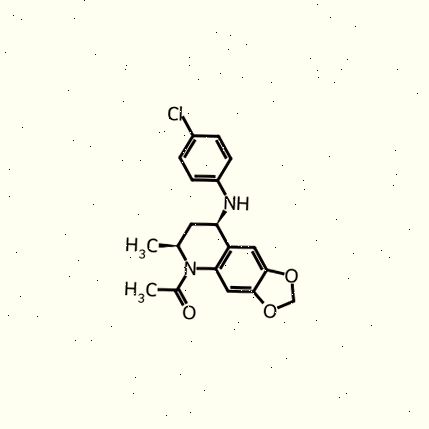 CC(=O)N1c2cc3c(cc2[C@H](Nc2ccc(Cl)cc2)C[C@@H]1C)OCO3